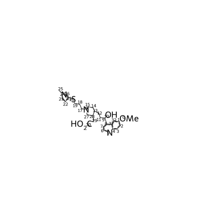 COc1ccc2nccc(C(O)CC[C@@H]3CCN(CCCSc4ccn(C)c4)C[C@@H]3CC(=O)O)c2c1